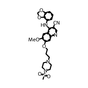 COc1cc2c(Nc3cccc4c3OCO4)c(C#N)cnc2cc1OCCCN1CCN(S(C)(=O)=O)CC1